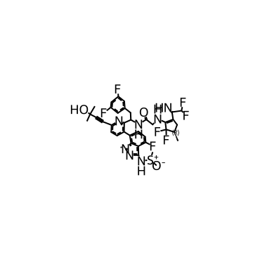 C[C@@H]1CC(C(=N)C(F)F)=C(NCC(=O)NC(Cc2cc(F)cc(F)c2)c2nc(C#CC(C)(C)O)ccc2-c2ccc(F)c3c(N[S+](C)[O-])nn(C)c23)C1(F)F